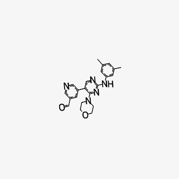 Cc1cc(C)cc(Nc2ncc(-c3cncc(C=O)c3)c(N3CCOCC3)n2)c1